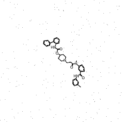 Cc1cccc(NC(=O)c2cccc(N(C)C(=O)CCN3CCC(OC(=O)Nc4ccccc4-c4ccccc4)CC3)c2)c1